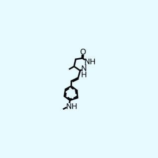 CNc1ccc(/C=C/C2NNC(=O)CC2C)cc1